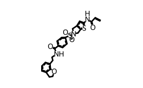 C=CC(=O)Nc1cc2c(s1)CN(S(=O)(=O)c1ccc(C(=O)NCCc3cccc4c3OCC4)cc1)C2